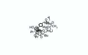 CC[C@H](C)[C@@H]([C@@H](CC(=O)N1CCC[C@H]1[C@H](OC)[C@@H](C)C(=O)N[C@@H](CC1CC1)C(=O)NCc1ccc(NC(=O)O)cc1)OC)N(C)C(=O)[C@@H](NC(=O)[C@H](C(C)C)N(C)C)C(C)C